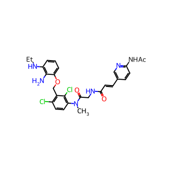 CCNc1cccc(OCc2c(Cl)ccc(N(C)C(=O)CNC(=O)C=Cc3ccc(NC(C)=O)nc3)c2Cl)c1N